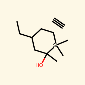 C#C.CCC1CC[Si](C)(C)C(C)(O)C1